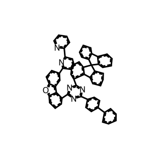 c1ccc(-c2ccc(-c3nc(-c4cccc5c4-c4ccccc4C54c5ccccc5-c5ccccc54)nc(-c4cccc5oc6ccc(-c7cccc(-c8ccccn8)n7)cc6c45)n3)cc2)cc1